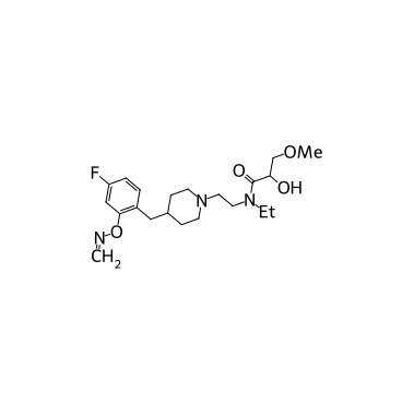 C=NOc1cc(F)ccc1CC1CCN(CCN(CC)C(=O)C(O)COC)CC1